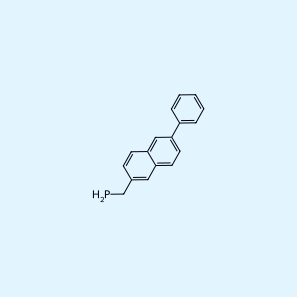 PCc1ccc2cc(-c3ccccc3)ccc2c1